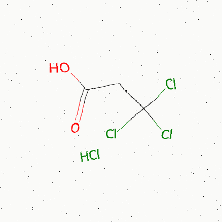 Cl.O=C(O)CC(Cl)(Cl)Cl